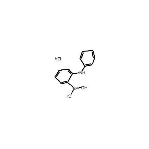 Cl.OB(O)c1ccccc1Nc1ccccc1